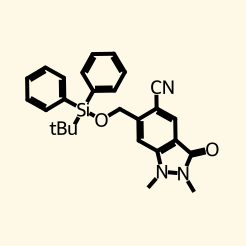 Cn1c(=O)c2cc(C#N)c(CO[Si](c3ccccc3)(c3ccccc3)C(C)(C)C)cc2n1C